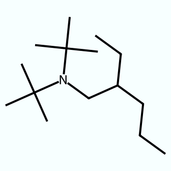 CCCC(CC)CN(C(C)(C)C)C(C)(C)C